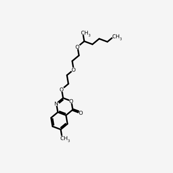 CCCCC(C)OCCOCCOc1nc2ccc(C)cc2c(=O)o1